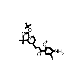 COc1cc(N)c(I)cc1C(=O)CCC1CCN(C(=O)OC(C)(C)C)C(C(C)(C)C)C1